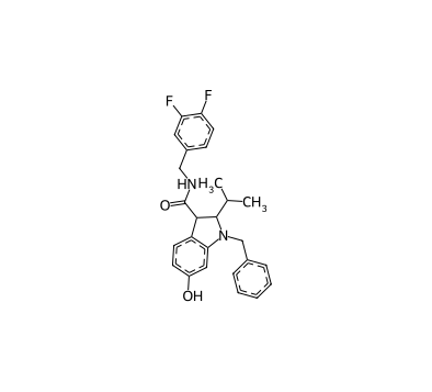 CC(C)C1C(C(=O)NCc2ccc(F)c(F)c2)c2ccc(O)cc2N1Cc1ccccc1